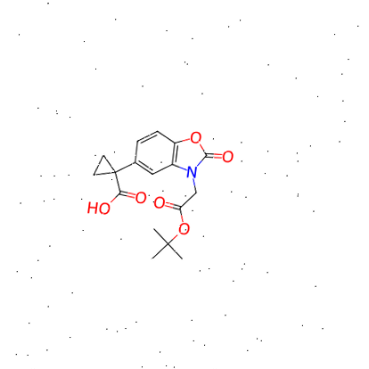 CC(C)(C)OC(=O)Cn1c(=O)oc2ccc(C3(C(=O)O)CC3)cc21